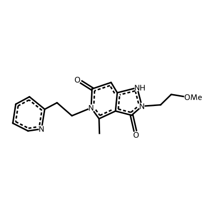 COCCn1[nH]c2cc(=O)n(CCc3ccccn3)c(C)c2c1=O